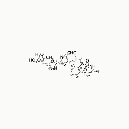 CCC(NS(=O)(=O)c1ccc(-c2sc(-c3nnc(CC(C)(C)C(=O)O)o3)nc2C=O)c2ccccc12)C(F)(F)F